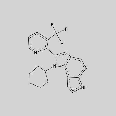 FC(F)(F)c1cccnc1-c1cc2cnc3[nH]ccc3c2n1C1CCCCC1